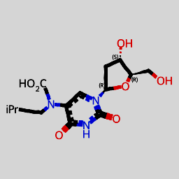 CC(C)CN(C(=O)O)c1cn([C@H]2C[C@H](O)[C@@H](CO)O2)c(=O)[nH]c1=O